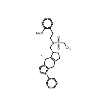 COc1ccccc1CCN(C[C@H]1CCC2=C1[C@@H](C)c1cnn(-c3ccccc3)c1C2)S(=O)(=O)CC(F)(F)F